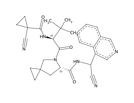 CC(C)(C)[C@H](NC(=O)C1(C#N)CC1)C(=O)N1CC2(CC2)C[C@H]1C(=O)NC(C#N)c1cncc2ccccc12